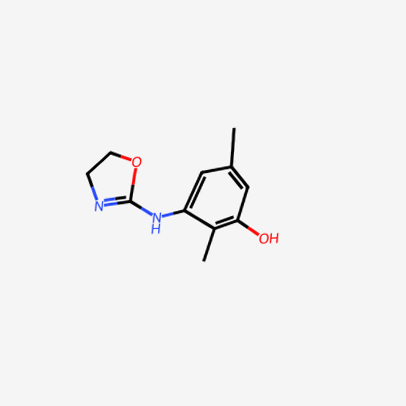 Cc1cc(O)c(C)c(NC2=NCCO2)c1